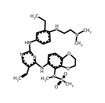 C=Cc1cnc(Nc2ccc(NCCN(C)C)c(CC)c2)nc1Nc1ccc2c(c1N(C)S(C)(=O)=O)OCCO2